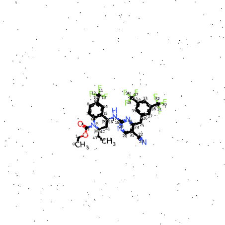 CCOC(=O)N1c2ccc(C(F)(F)F)cc2[C@@H](Nc2ncc(C#N)c(Cc3cc(C(F)(F)F)cc(C(F)(F)F)c3)n2)C[C@H]1CC